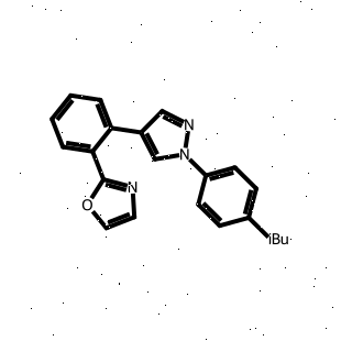 CCC(C)c1ccc(-n2cc(-c3ccccc3-c3ncco3)cn2)cc1